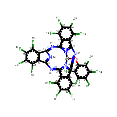 Fc1c(F)c(F)c(OB2n3c4c5c(F)c(F)c(F)c(F)c5c3/N=C3N=C(/N=c5/c6c(F)c(F)c(F)c(F)c6c(n52)=N4)c2c(F)c(F)c(F)c(F)c2\3)c(F)c1F